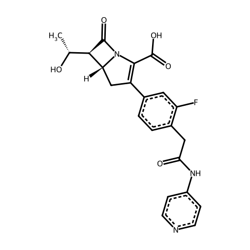 C[C@@H](O)[C@H]1C(=O)N2C(C(=O)O)=C(c3ccc(CC(=O)Nc4ccncc4)c(F)c3)C[C@H]12